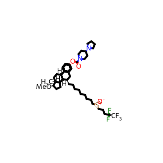 CO[C@H]1CC[C@H]2[C@@H]3[C@H](CCCCCCCCC[S+]([O-])CCCC(F)(F)C(F)(F)F)Cc4cc(OC(=O)N5CCC(N6CCCC6)CC5)ccc4[C@H]3CC[C@]12C